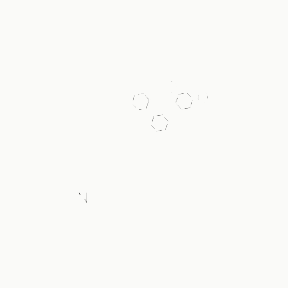 Oc1ccc2c(c1)OCC(c1ccccc1)C2c1ccc(CCCCCCCCCCCN2CCCC2)cc1